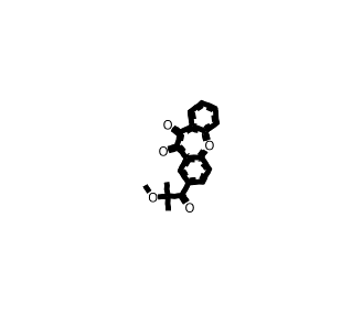 COC(C)(C)C(=O)c1ccc2oc3ccccc3c(=O)c(=O)c2c1